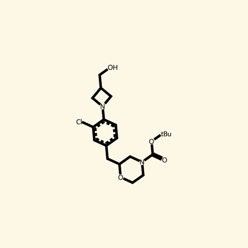 CC(C)(C)OC(=O)N1CCOC(Cc2ccc(N3CC(CO)C3)c(Cl)c2)C1